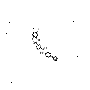 O=C(Nc1ccc(-n2cncn2)cc1)c1ccc(C(=O)Nc2cc(F)ccc2F)s1